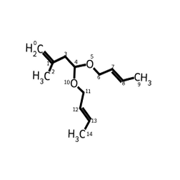 C=C(C)CC(OCC=CC)OCC=CC